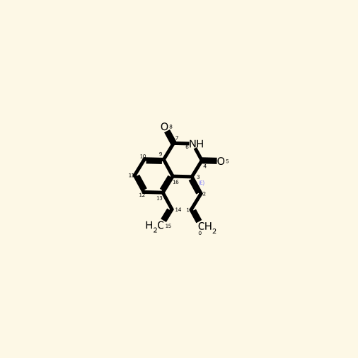 C=C/C=C1/C(=O)NC(=O)c2cccc(C=C)c21